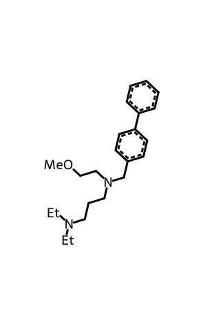 CCN(CC)CCCN(CCOC)Cc1ccc(-c2ccccc2)cc1